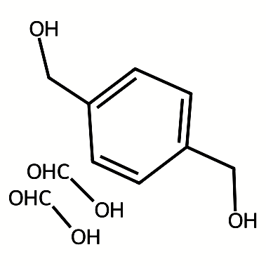 O=CO.O=CO.OCc1ccc(CO)cc1